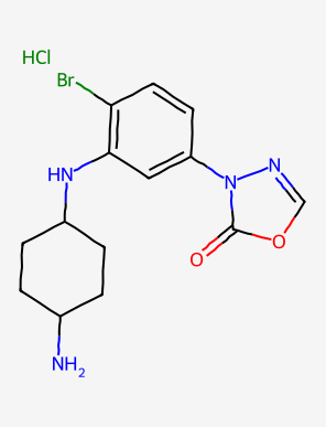 Cl.NC1CCC(Nc2cc(-n3ncoc3=O)ccc2Br)CC1